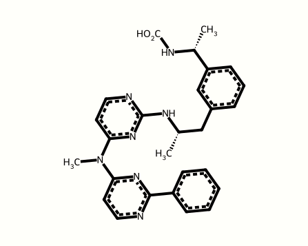 C[C@@H](Cc1cccc([C@@H](C)NC(=O)O)c1)Nc1nccc(N(C)c2ccnc(-c3ccccc3)n2)n1